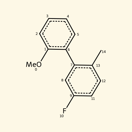 COc1ccccc1-c1cc(F)ccc1C